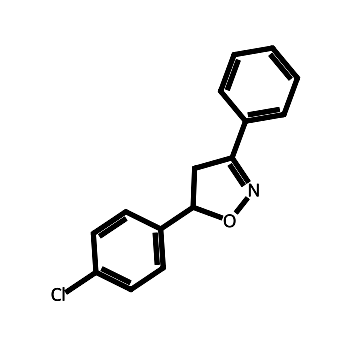 Clc1ccc(C2CC(c3ccccc3)=NO2)cc1